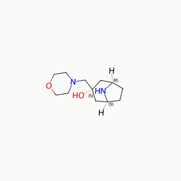 O[C@]1(CN2CCOCC2)C[C@H]2CC[C@@H](C1)N2